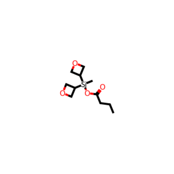 CCCC(=O)O[Si](C)(C1COC1)C1COC1